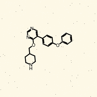 c1ccc(Oc2ccc(-c3cncnc3OCC3CCNCC3)cc2)cc1